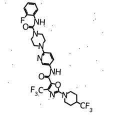 O=C(Nc1ccc(N2CCN(C(=O)Nc3ccccc3F)CC2)nc1)c1oc(N2CCC(C(F)(F)F)CC2)nc1C(F)(F)F